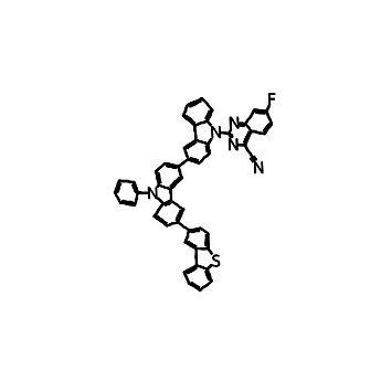 N#Cc1nc(-n2c3ccccc3c3cc(-c4ccc5c(c4)c4cc(-c6ccc7sc8ccccc8c7c6)ccc4n5-c4ccccc4)ccc32)nc2cc(F)ccc12